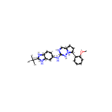 COc1ccccc1-c1ccc2cnc(Nc3ccc4nc(C(C)(C)C)[nH]c4c3)nn12